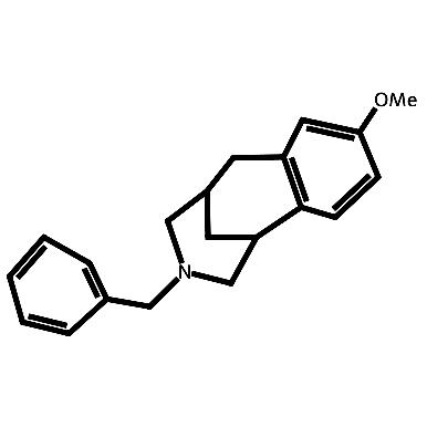 COc1ccc2c(c1)CC1CC2CN(Cc2ccccc2)C1